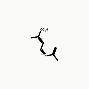 C=C(C)/N=C\C=C(/C)C(=O)O